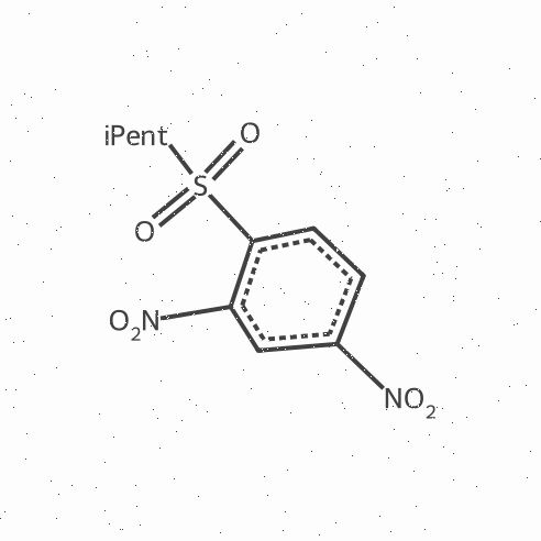 CCCC(C)S(=O)(=O)c1ccc([N+](=O)[O-])cc1[N+](=O)[O-]